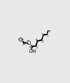 CCCCCCC(O)O[C]=O